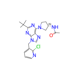 CC(=O)N[C@H]1CCN(c2nc(C(C)(C)C)nc3c2ncn3Cc2cccnc2Cl)C1